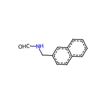 O=CNCc1ccc2ccccc2c1